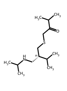 CC(C)NC[C@H](CSCC(=O)C(C)C)C(C)C